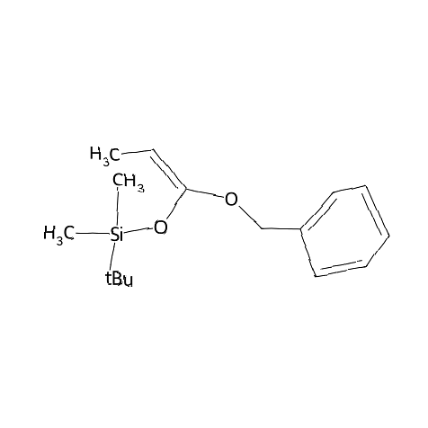 C/C=C(/OCc1ccccc1)O[Si](C)(C)C(C)(C)C